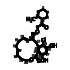 CC1CCCCN1C(=O)CO/N=C1/C=C/CC/C=C/CCOC(=O)c2c(O)cc(O)c(Cl)c2C1